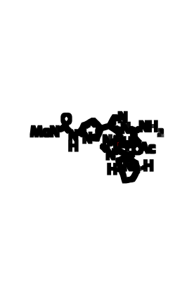 CNC(=O)Nc1ccc(-c2cnn3c(N)c(C(C)=O)c([C@@H]4C[C@H]5CC[C@@H](C4)N5C(=O)c4ncn[nH]4)nc23)cn1